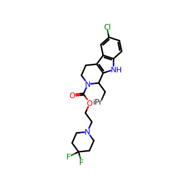 CC(C)CC1c2[nH]c3ccc(Cl)cc3c2CCN1C(=O)OCCN1CCC(F)(F)CC1